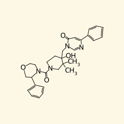 CC1(C)CN(C(=O)N2CCOCC2c2ccccc2)CCC1(O)Cn1cnc(-c2ccccc2)cc1=O